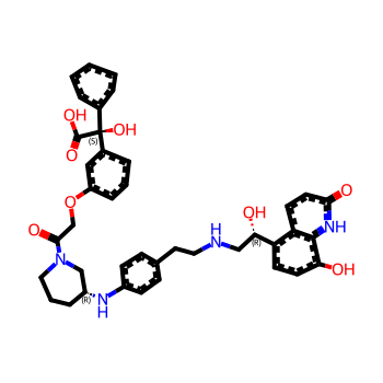 O=C(COc1cccc([C@](O)(C(=O)O)c2ccccc2)c1)N1CCC[C@@H](Nc2ccc(CCNC[C@H](O)c3ccc(O)c4[nH]c(=O)ccc34)cc2)C1